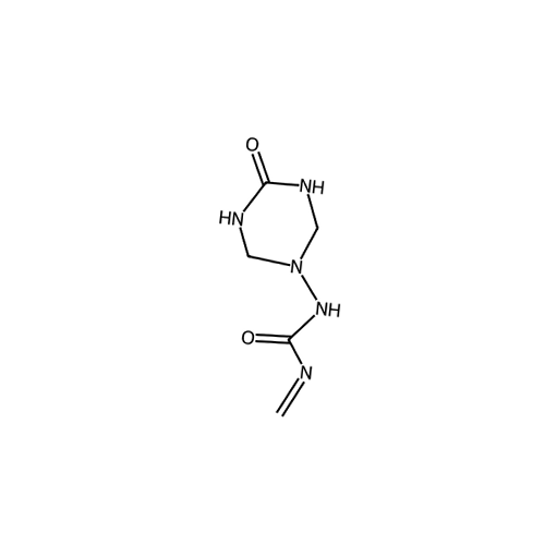 C=NC(=O)NN1CNC(=O)NC1